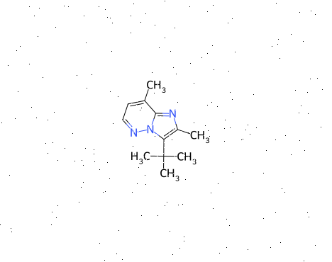 Cc1nc2c(C)ccnn2c1C(C)(C)C